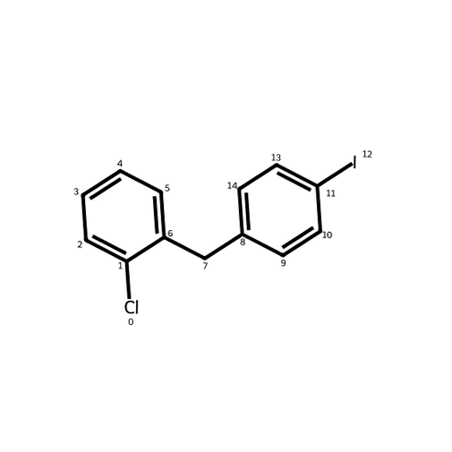 Clc1ccccc1Cc1ccc(I)cc1